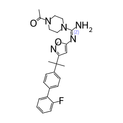 CC(=O)N1CCN(/C(N)=N\c2cc(C(C)(C)c3ccc(-c4ccccc4F)cc3)no2)CC1